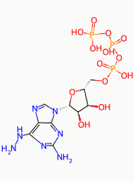 NNc1nc(N)nc2c1ncn2[C@@H]1O[C@H](COP(=O)(O)OP(=O)(O)OP(=O)(O)O)[C@@H](O)[C@H]1O